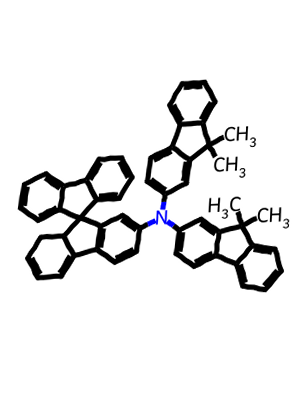 CC1(C)c2ccccc2-c2ccc(N(c3ccc4c(c3)C(C)(C)c3ccccc3-4)c3ccc4c(c3)C3(c5ccccc5-c5ccccc53)C3CC=CC=C43)cc21